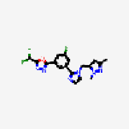 Cc1cc(Cn2ccnc2-c2cc(F)cc(-c3nnc(C(F)F)o3)c2)n(C)n1